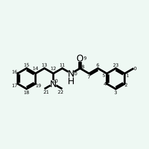 Cc1cccc(/C=C/C(=O)NCC(Cc2ccccc2)N(C)C)c1